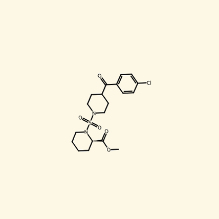 COC(=O)[C@H]1CCCCN1S(=O)(=O)N1CCC(C(=O)c2ccc(Cl)cc2)CC1